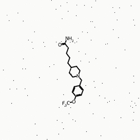 NC(=O)CCCCC1CCN(Cc2ccc(OC(F)(F)F)cc2)CC1